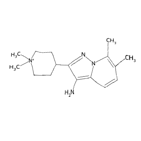 Cc1ccc2c(N)c(C3CC[N+](C)(C)CC3)nn2c1C